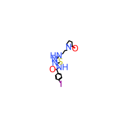 O=C(Nc1nnc(NCCCN2CCCC2=O)s1)c1ccc(I)cc1